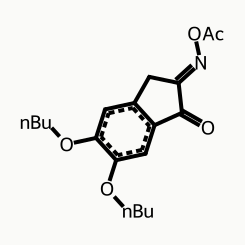 CCCCOc1cc2c(cc1OCCCC)C(=O)C(=NOC(C)=O)C2